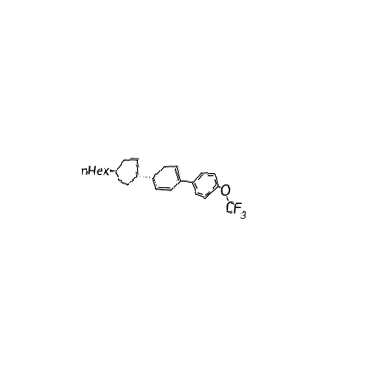 CCCCCC[C@H]1CC[C@H](C2C=CC(c3ccc(OC(F)(F)F)cc3)=CC2)CC1